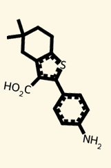 CC1(C)CCc2sc(-c3ccc(N)cc3)c(C(=O)O)c2C1